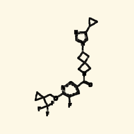 O=C(c1cnc(OCC2(C(F)(F)F)CC2)c(F)c1)N1CC2(CC(n3cnc(C4CC4)c3)C2)C1